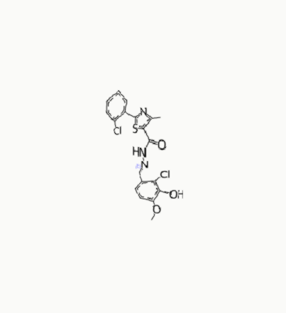 COc1ccc(/C=N/NC(=O)c2sc(-c3ccccc3Cl)nc2C)c(Cl)c1O